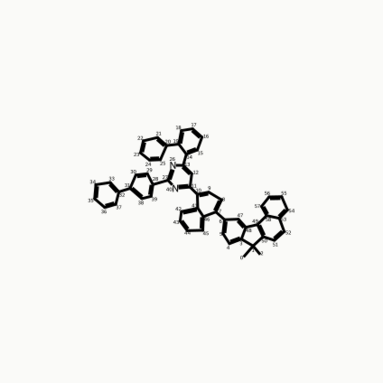 CC1(C)c2ccc(-c3ccc(-c4cc(-c5ccccc5-c5ccccc5)nc(-c5ccc(-c6ccccc6)cc5)n4)c4ccccc34)cc2-c2c1ccc1ccccc21